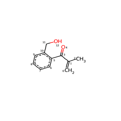 C=C(C)C(=O)c1ccccc1CO